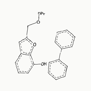 CCCOCc1cc2cccc(O)c2o1.c1ccc(-c2ccccc2)cc1